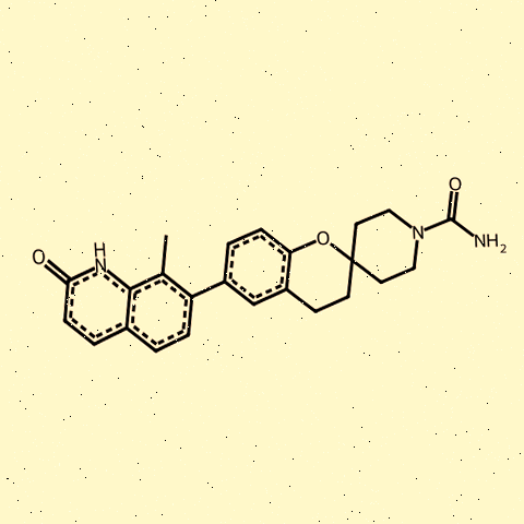 Cc1c(-c2ccc3c(c2)CCC2(CCN(C(N)=O)CC2)O3)ccc2ccc(=O)[nH]c12